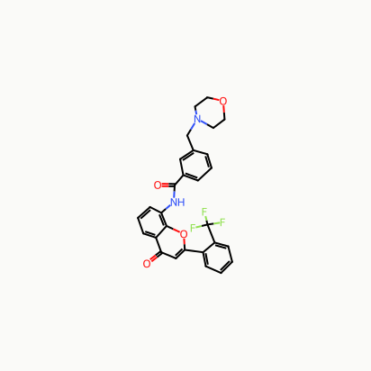 O=C(Nc1cccc2c(=O)cc(-c3ccccc3C(F)(F)F)oc12)c1cccc(CN2CCOCC2)c1